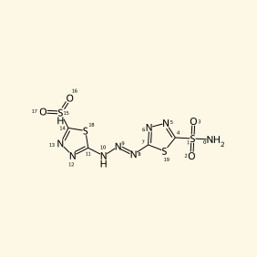 NS(=O)(=O)c1nnc(N=NNc2nnc([SH](=O)=O)s2)s1